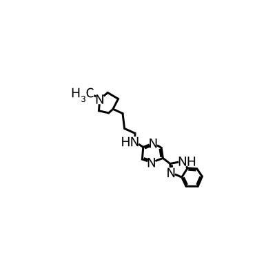 CN1CCC(CCCNc2cnc(-c3nc4ccccc4[nH]3)cn2)CC1